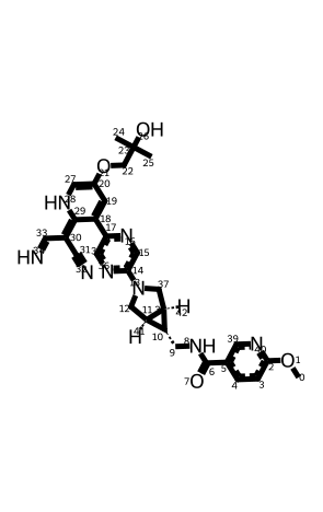 COc1ccc(C(=O)NC[C@@H]2[C@H]3CN(c4cnc(C5=CC(OCC(C)(C)O)=CN/C5=C(/C#N)C=N)cn4)C[C@@H]23)cn1